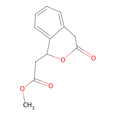 COC(=O)CC1OC(=O)Cc2ccccc21